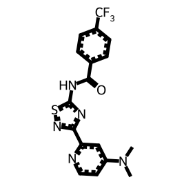 CN(C)c1ccnc(-c2nsc(NC(=O)c3ccc(C(F)(F)F)cc3)n2)c1